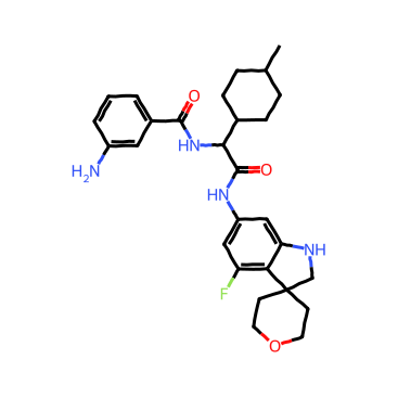 CC1CCC(C(NC(=O)c2cccc(N)c2)C(=O)Nc2cc(F)c3c(c2)NCC32CCOCC2)CC1